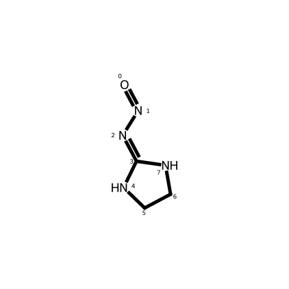 O=NN=C1NCCN1